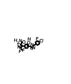 NC(=O)c1onc(C(F)F)c1C12CCC(c3nc(-c4ccc(Cl)c(F)c4)no3)(CC1)C(O)C2